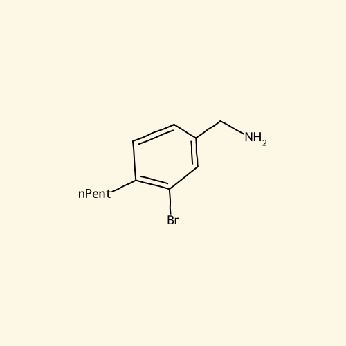 CCCCCc1ccc(CN)cc1Br